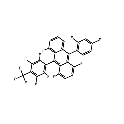 Fc1ccc(-c2c3cccc(F)c3c(-c3c(F)c(F)c(C(F)(F)F)c(F)c3F)c3c(F)ccc(F)c23)c(F)c1